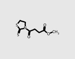 COC(=O)CCC(=O)N1CCSC1=S